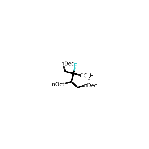 CCCCCCCCCCCC(CCCCCCCC)C(F)(CCCCCCCCCCC)C(=O)O